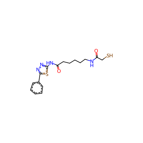 O=C(CS)NCCCCCC(=O)Nc1nnc(-c2ccccc2)s1